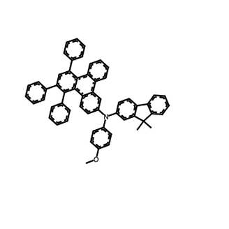 COc1ccc(N(c2ccc3c(c2)C(C)(C)c2ccccc2-3)c2ccc3c(c2)c2ccccc2c2c(-c4ccccc4)cc(-c4ccccc4)c(-c4ccccc4)c32)cc1